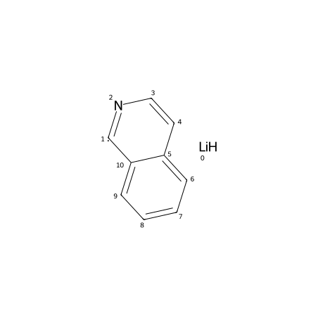 [LiH].[c]1nccc2ccccc12